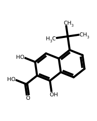 CC(C)(C)c1cccc2c(O)c(C(=O)O)c(O)cc12